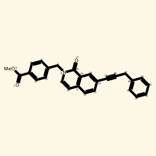 COC(=O)c1ccc(Cn2ccc3ccc(C#CCc4ccccc4)cc3c2=O)cc1